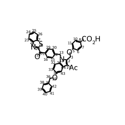 CC(=O)c1c(COc2ccc(C(=O)O)cc2)n(Cc2ccc(C(=O)c3nc4ccccc4s3)cc2)c2ccc(OCc3ccccc3)cc12